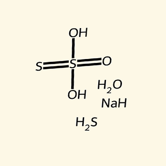 O.O=S(O)(O)=S.S.[NaH]